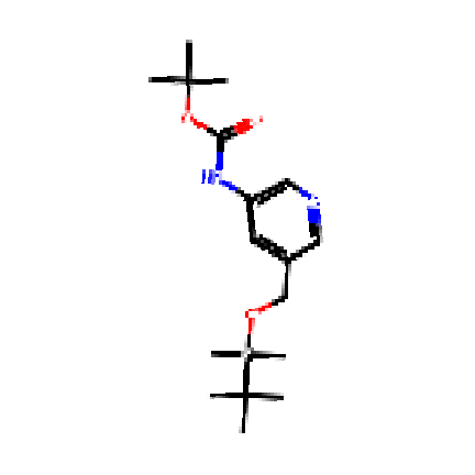 CC(C)(C)OC(=O)Nc1cncc(CO[Si](C)(C)C(C)(C)C)c1